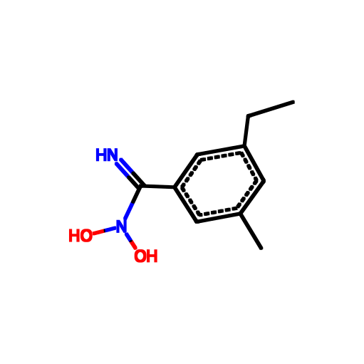 CCc1cc(C)cc(C(=N)N(O)O)c1